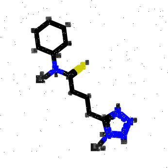 CCN(C(=S)CCCc1nnnn1CC)C1CCCCC1